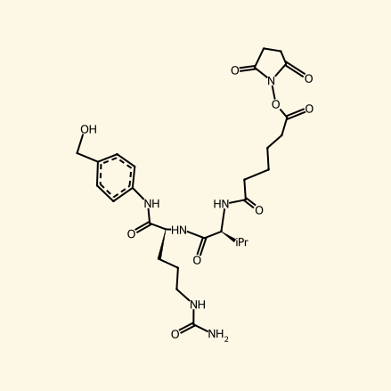 CC(C)[C@H](NC(=O)CCCCC(=O)ON1C(=O)CCC1=O)C(=O)N[C@@H](CCCNC(N)=O)C(=O)Nc1ccc(CO)cc1